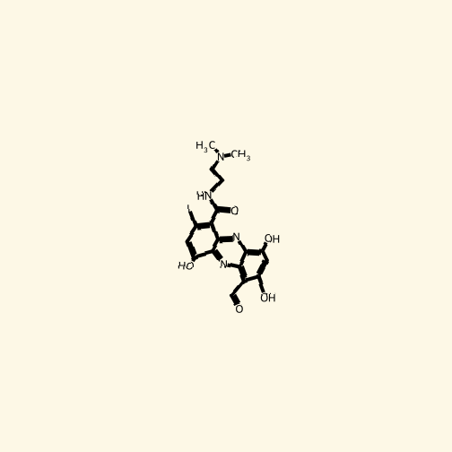 CN(C)CCNC(=O)c1c(I)cc(O)c2nc3c(C=O)c(O)cc(O)c3nc12